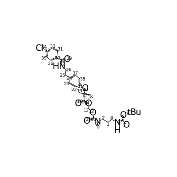 CN(CCCNC(=O)OC(C)(C)C)C(=O)OCOC(=O)C(C)(C)Oc1ccc(CCNC(=O)c2ccc(Cl)cc2)cc1